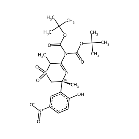 CC1C(N(C(=O)OC(C)(C)C)C(=O)OC(C)(C)C)=N[C@](C)(c2cc([N+](=O)[O-])ccc2O)CS1(=O)=O